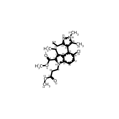 CCc1c(C(=O)OC)n(CCC(=O)OC)c2ccc(Cl)c(-c3c(CI)nn(C)c3C)c12